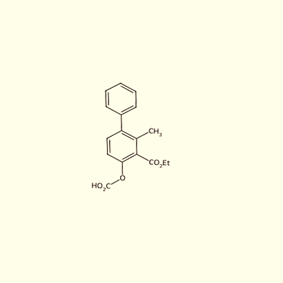 CCOC(=O)c1c(OC(=O)O)ccc(-c2ccccc2)c1C